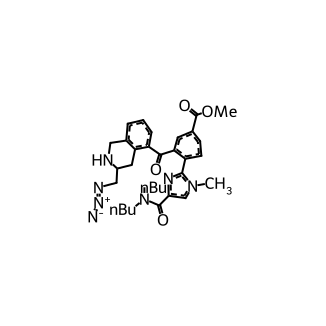 CCCCN(CCCC)C(=O)c1cn(C)c(-c2ccc(C(=O)OC)cc2C(=O)c2cccc3c2CC(CN=[N+]=[N-])NC3)n1